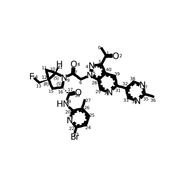 CC(=O)c1nn(CC(=O)N2[C@H]3C[C@@]3(CF)C[C@H]2C(=O)Nc2nc(Br)ccc2C)c2cnc(-c3cnc(C)nc3)cc12